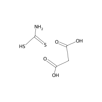 NC(=S)S.O=C(O)CC(=O)O